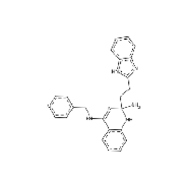 NC1(CCc2nc3ccccc3[nH]2)N=C(NCc2ccncc2)c2ccccc2N1